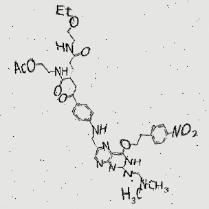 CCOCCNC(=O)CC[C@H](CC(=O)c1ccc(NCc2cnc3c(n2)=C(OCCc2ccc([N+](=O)[O-])cc2)NC(/N=C/N(C)C)N=3)cc1)C(=O)NCCOC(C)=O